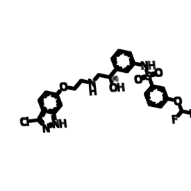 O=S(=O)(Nc1cccc([C@@H](O)CNCCOc2ccc3c(Cl)n[nH]c3c2)c1)c1cccc(OC(F)F)c1